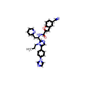 CCCn1c(-c2ccc(-n3ccnc3)cc2)cnc1C(Cc1ccccn1)NC(=O)c1cc2cc(C#N)ccc2o1